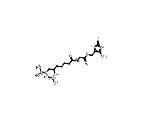 Cc1oc(=O)oc1COC(=O)CNC(=O)CCCCC(CON(O)O)ON(O)O